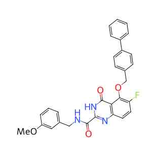 COc1cccc(CNC(=O)c2nc3ccc(F)c(OCc4ccc(-c5ccccc5)cc4)c3c(=O)[nH]2)c1